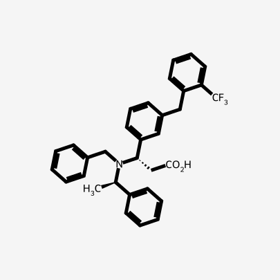 C[C@H](c1ccccc1)N(Cc1ccccc1)[C@@H](CC(=O)O)c1cccc(Cc2ccccc2C(F)(F)F)c1